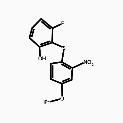 CC(C)Oc1ccc(Sc2c(O)cccc2F)c([N+](=O)[O-])c1